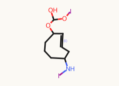 OC(OI)OC1/C=C/CC(NI)CCC1